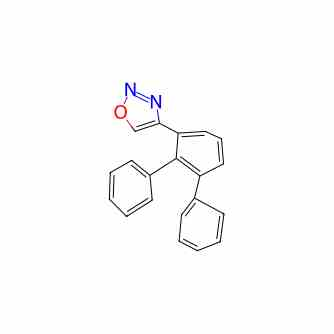 c1ccc(-c2cccc(-c3conn3)c2-c2ccccc2)cc1